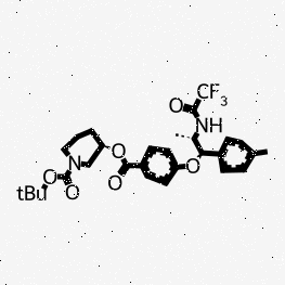 Cc1ccc([C@@H](Oc2ccc(C(=O)O[C@H]3CCCN(C(=O)OC(C)(C)C)C3)cc2)[C@H](C)NC(=O)C(F)(F)F)cc1